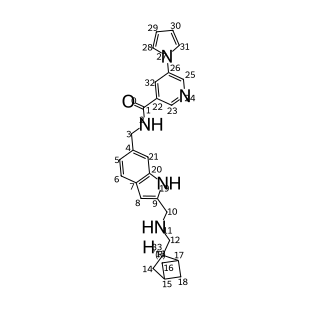 O=C(NCc1ccc2cc(CNC[C@@H]3CC4CC3C4)[nH]c2c1)c1cncc(-n2cccc2)c1